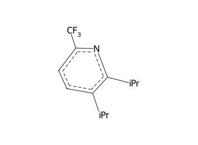 CC(C)c1ccc(C(F)(F)F)nc1C(C)C